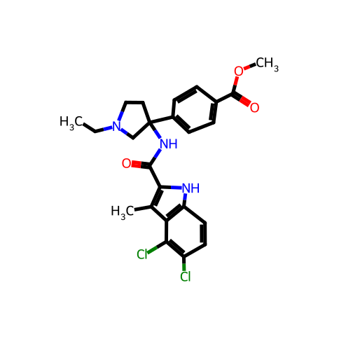 CCN1CCC(NC(=O)c2[nH]c3ccc(Cl)c(Cl)c3c2C)(c2ccc(C(=O)OC)cc2)C1